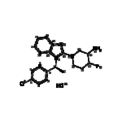 C[C@@H](c1ccc(Cl)cn1)n1c(N2CCC(F)C(N)C2)nc2ccccc21.Cl